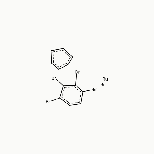 Brc1ccc(Br)c(Br)c1Br.[Ru].[Ru].c1ccccc1